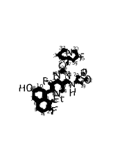 CCc1c(F)ccc2cc(O)cc(-c3ncc4c(NC5CS(=O)(=O)C5)nc(OC[C@@]56CCCN5C[C@H](F)C6)nc4c3F)c12